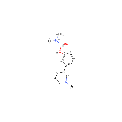 CCCN1CCCC(c2cccc(OC(=O)N(C)C)c2)C1